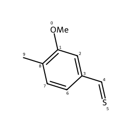 COc1cc(C=S)ccc1C